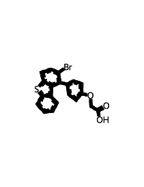 O=C(O)COc1ccc(-c2c(Br)ccc3sc4ccccc4c23)cc1